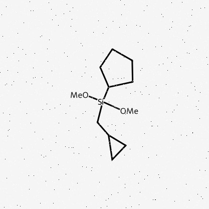 CO[Si](CC1CC1)(OC)C1CCCC1